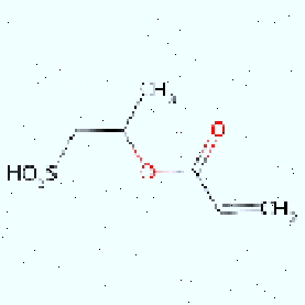 C=CC(=O)OC(C)CS(=O)(=O)O